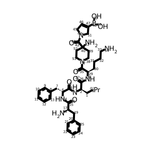 CC(C)C[C@@H](NC(=O)[C@@H](Cc1ccccc1)NC(=O)[C@H](N)Cc1ccccc1)C(=O)N[C@H](CCCCN)C(=O)N1CCC(N)(C(=O)N2CC=C(B(O)O)C2)CC1